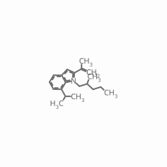 C=C(C)c1cc2cccc(C(C)C)c2n1CC(C)CCC